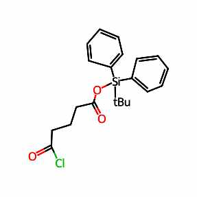 CC(C)(C)[Si](OC(=O)CCCC(=O)Cl)(c1ccccc1)c1ccccc1